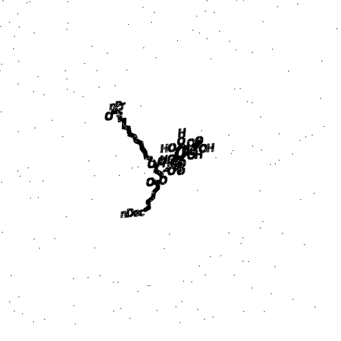 CCCCCCCCCCCCCCCC(=O)O[C@@H](COP(=O)(O)OC1C(O)[C@H](O)C(O)[C@H](OP(=O)(O)O)[C@@H]1O)CC(=O)OCCCCCCCCCCCCSC(=O)CCC